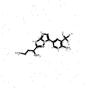 NCCC(N)c1nn2c(-c3cnc(N)c(C(F)(F)F)c3)cnc2s1